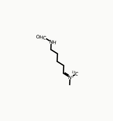 C/[N+]([13CH3])=C/CCCCN[13CH]=O